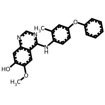 COc1cc2c(Nc3ccc(Oc4ccccc4)cc3C)ncnc2cc1O